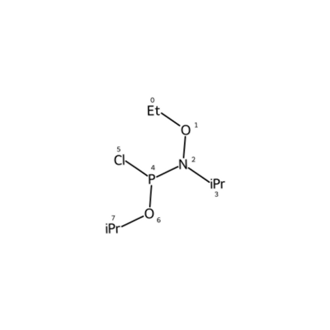 CCON(C(C)C)P(Cl)OC(C)C